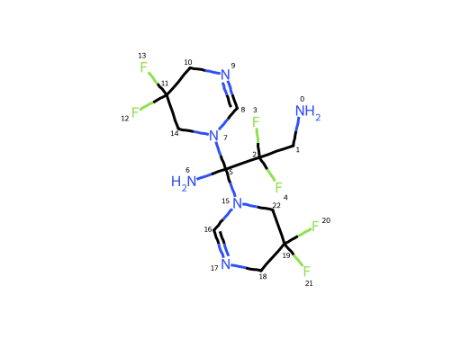 NCC(F)(F)C(N)(N1C=NCC(F)(F)C1)N1C=NCC(F)(F)C1